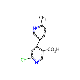 O=C(O)c1cnc(Cl)cc1-c1ccc(C(F)(F)F)nc1